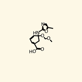 COCOC1(Nc2ncc(C)o2)C=CC=C(C(=O)O)C1